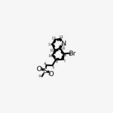 CS(=O)(=O)CCc1cc(Br)c2ncccc2c1